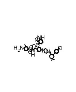 Cc1cc(S(=O)(=O)NC(=O)c2ccc(N3CCN(CC4=C(c5ccc(Cl)cc5)CC(C)(C)CC4)CC3)cc2Oc2cccc3[nH]cnc23)ccc1N